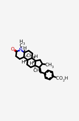 CC1C[C@H]2[C@@H]3CC[C@H]4N(C)C(=O)CC[C@]4(C)[C@H]3CC[C@]2(C)/C1=C/c1ccc(C(=O)O)cc1